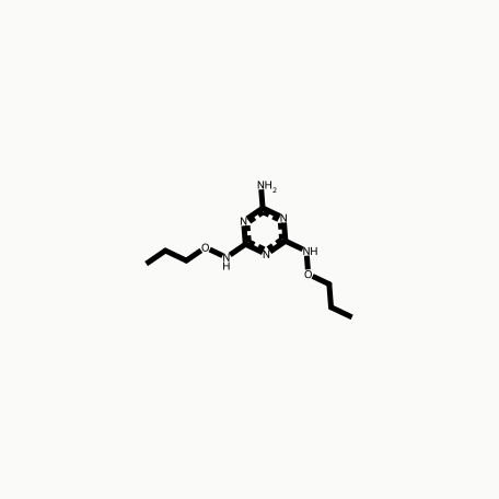 CCCONc1nc(N)nc(NOCCC)n1